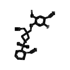 COc1cc(C#N)c(F)cc1OCC1(CO)CN(S(=O)(=O)c2ccccc2C#N)C1